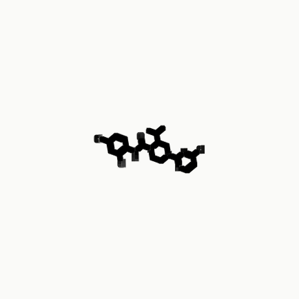 CC(C)C1CN(c2nccc(Cl)n2)CCN1C(=O)Nc1ccc(Cl)cc1Cl